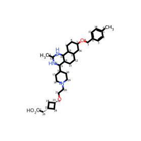 Cc1ccc(COC2CCC3C(CCC4C(C5CCN(CCO[C@H]6C[C@@H](CC(=O)O)C6)CC5)NC(C)NC34)C2)cc1